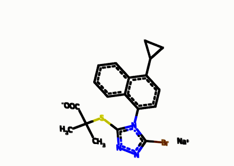 CC(C)(Sc1nnc(Br)n1-c1ccc(C2CC2)c2ccccc12)C(=O)[O-].[Na+]